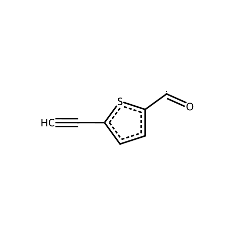 C#Cc1ccc([C]=O)s1